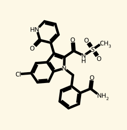 CS(=O)(=O)NC(=O)c1c(-c2ccc[nH]c2=O)c2cc(Cl)ccc2n1Cc1ccccc1C(N)=O